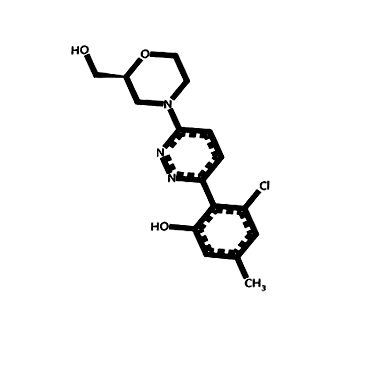 Cc1cc(O)c(-c2ccc(N3CCO[C@H](CO)C3)nn2)c(Cl)c1